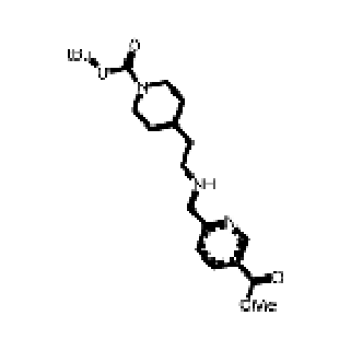 COC(=O)c1ccc(CNCCC2CCN(C(=O)OC(C)(C)C)CC2)nc1